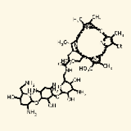 CCC1=C(C)c2cc3[nH]c(cc4nc(c(CC(=O)O)c5[nH]c(cc1n2)c(C)c5C(=O)O)[C@@H](CCC(=O)NCC1OC(OC2C(N)CC(N)C(OC5OC(CN)C(O)CC5N)C2O)C(O)C(N)C1O)[C@@H]4C)c(C)c3C